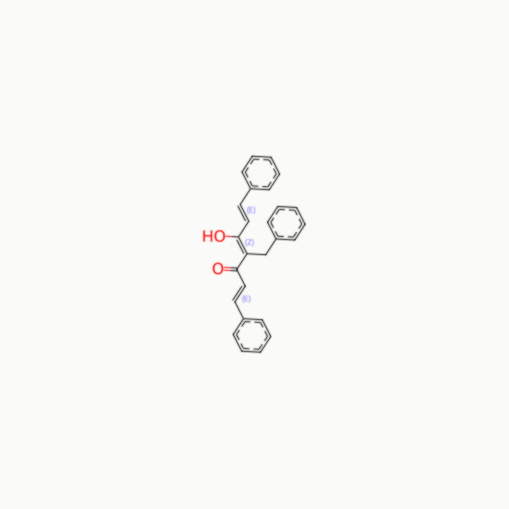 O=C(/C=C/c1ccccc1)/C(Cc1ccccc1)=C(O)/C=C/c1ccccc1